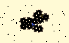 C1=CC2=C(C=C(N(c3ccc(-c4ccc5ccccc5c4-c4cccc5c4sc4ccccc45)cc3)c3ccc4c(c3)C3(c5ccccc5-c5ccccc53)c3ccccc3-4)CC2)CC1